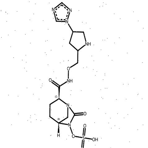 O=C(NOCC1CC(n2cncn2)CN1)[C@@H]1CC[C@@H]2CN1C(=O)N2OS(=O)(=O)O